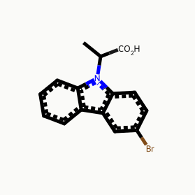 CC(C(=O)O)n1c2ccccc2c2cc(Br)ccc21